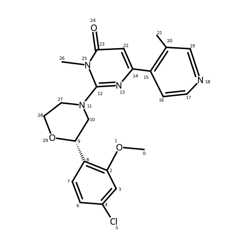 COc1cc(Cl)ccc1[C@H]1CN(c2nc(-c3ccncc3C)cc(=O)n2C)CCO1